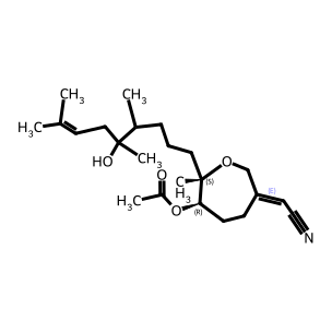 CC(=O)O[C@@H]1CC/C(=C\C#N)CO[C@@]1(C)CCCC(C)C(C)(O)CC=C(C)C